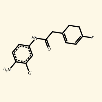 Nc1ccc(NC(=O)CC2=CC=C(F)CC2)cc1Cl